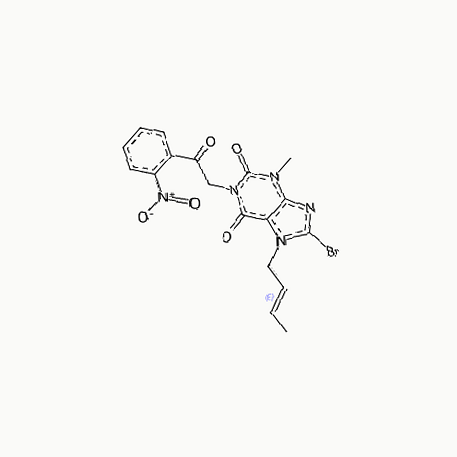 C/C=C/Cn1c(Br)nc2c1c(=O)n(CC(=O)c1ccccc1[N+](=O)[O-])c(=O)n2C